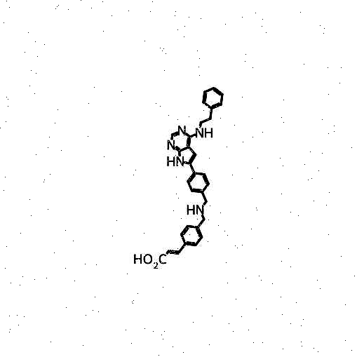 O=C(O)C=Cc1ccc(CNCc2ccc(-c3cc4c(NCCc5ccccc5)ncnc4[nH]3)cc2)cc1